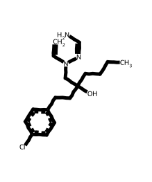 C=CN(CC(O)(CCCC)CCc1ccc(Cl)cc1)/N=C\N